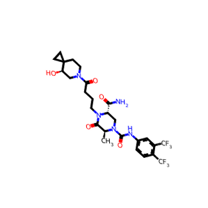 C[C@H]1C(=O)N(CCCC(=O)N2CCC3(CC3)[C@H](O)C2)[C@H](C(N)=O)CN1C(=O)Nc1ccc(C(F)(F)F)c(C(F)(F)F)c1